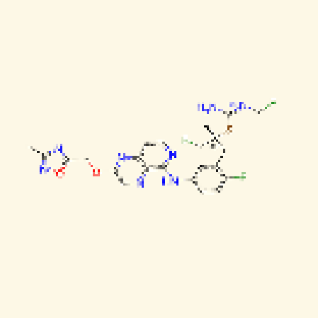 Cc1noc(COc2cnc3c(Nc4ccc(F)c(C[C@](C)(CF)S/C(N)=N\CF)c4)nccc3n2)n1